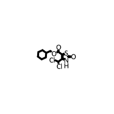 O=C(OCC1CCCCC1)c1sc(=O)[nH]c1C(Cl)Cl